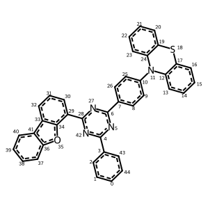 c1ccc(-c2nc(-c3ccc(N4c5ccccc5Sc5ccccc54)cc3)nc(-c3cccc4c3oc3ccccc34)n2)cc1